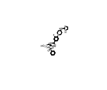 CC(C)(C)C(CC(=O)O)(NC(=O)c1ccc(N2CCC(NC3=NCCN3)CC2)c(F)c1)NS(=O)(=O)c1ccccc1